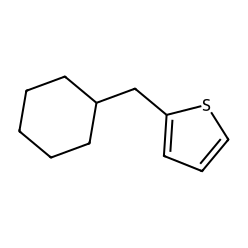 c1csc(CC2CCCCC2)c1